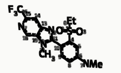 CCS(=O)(=O)c1cc(NC)ccc1-c1nc2cc(C(F)(F)F)ncc2n1C